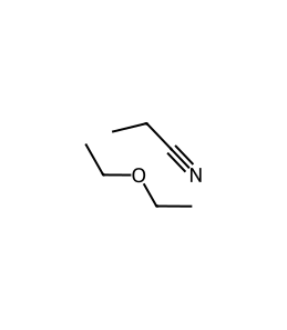 CCC#N.CCOCC